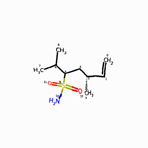 C=C[C@H](C)CC(C(C)C)S(N)(=O)=O